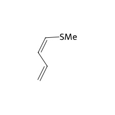 C=C/C=C\SC